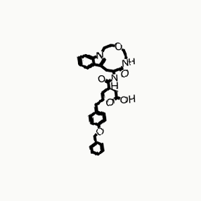 O=C(O)C[C@@H](CCCc1ccc(OCc2ccccc2)cc1)C(=O)NC1Cc2cn(c3ccccc23)CCOCCNC1=O